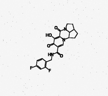 O=C(NCc1ccc(F)cc1F)c1cn2c(c(O)c1=O)C(=O)N1CCC3CCC2C31